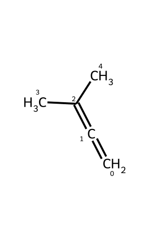 C=C=C(C)C